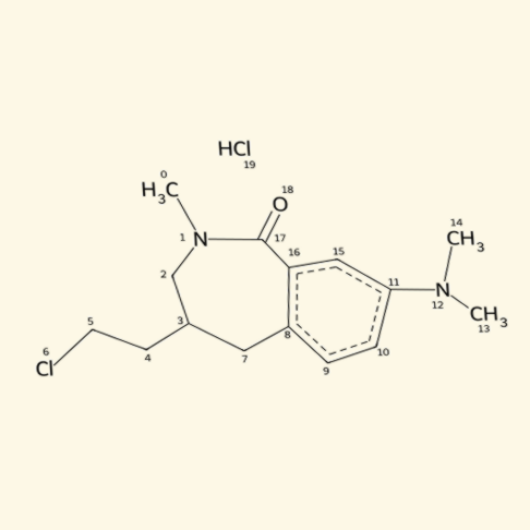 CN1CC(CCCl)Cc2ccc(N(C)C)cc2C1=O.Cl